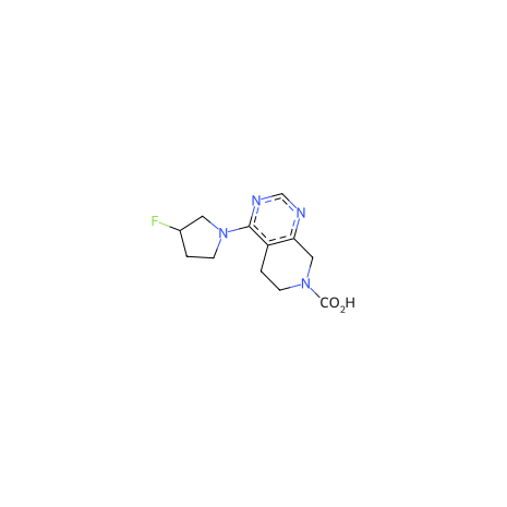 O=C(O)N1CCc2c(ncnc2N2CCC(F)C2)C1